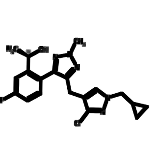 C[C@@H](O)c1cc(F)ccc1-c1nn(C)nc1Cc1cn(CC2CC2)nc1Cl